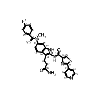 CN(C(=O)c1ccc(F)cc1)c1ccc2c(CCC(N)=O)c(NC(=O)c3csc(-c4ccncc4)n3)[nH]c2c1